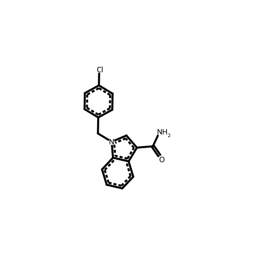 NC(=O)c1cn(Cc2ccc(Cl)cc2)c2ccccc12